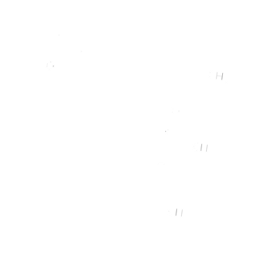 CCO[Si](C)(CCCCC1CO1)OCC